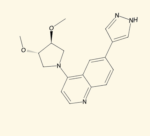 CO[C@H]1CN(c2ccnc3ccc(-c4cn[nH]c4)cc23)C[C@@H]1OC